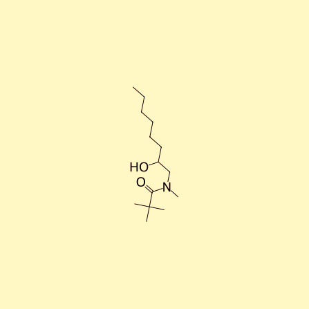 CCCCCCC(O)CN(C)C(=O)C(C)(C)C